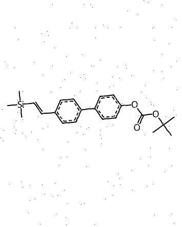 CC(C)(C)OC(=O)Oc1ccc(-c2ccc(C=C[Si](C)(C)C)cc2)cc1